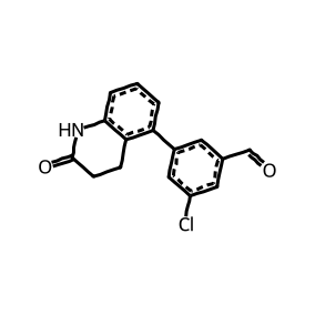 O=Cc1cc(Cl)cc(-c2cccc3c2CCC(=O)N3)c1